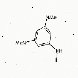 CNc1cc(NC)cc(NI)c1